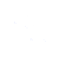 CC1(C)c2cccc(-c3nc(-c4ccccc4)cc(-c4ccccc4)n3)c2-n2c1nc1ccccc12